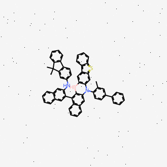 Cc1cc(-c2ccccc2)ccc1N1c2cc3sc4ccccc4c3cc2Bc2c1cc1ccccc1c2-c1cc2ccccc2cc1Nc1ccc2c(c1)C(C)(C)c1ccccc1-2